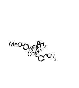 BOC=N[C@@H](Cc1cccc(C=C)c1)C(=O)N(C)c1ccc(OC)cc1